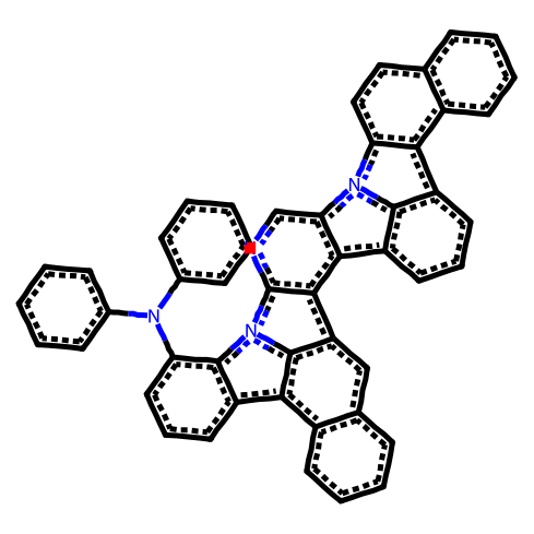 c1ccc(N(c2ccccc2)c2cccc3c4c5ccccc5cc5c6c7c8cccc9c%10c%11ccccc%11ccc%10n(c7cnc6n(c23)c54)c98)cc1